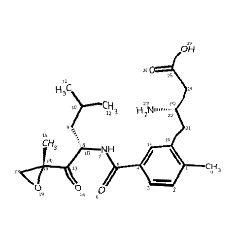 Cc1ccc(C(=O)N[C@@H](CC(C)C)C(=O)[C@@]2(C)CO2)cc1C[C@H](N)CC(=O)O